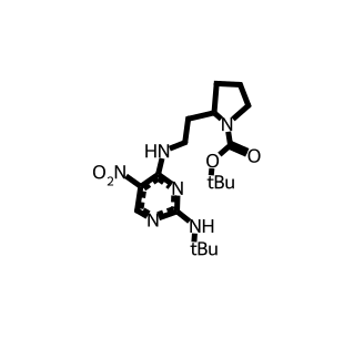 CC(C)(C)Nc1ncc([N+](=O)[O-])c(NCCC2CCCN2C(=O)OC(C)(C)C)n1